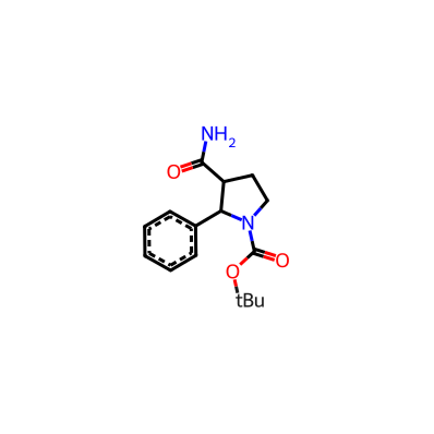 CC(C)(C)OC(=O)N1CCC(C(N)=O)C1c1ccccc1